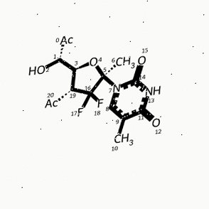 CC(=O)[C@@H](O)[C@H]1O[C@@](C)(n2cc(C)c(=O)[nH]c2=O)C(F)(F)[C@@H]1C(C)=O